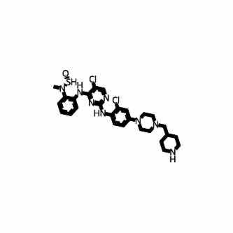 CN([SH]=O)c1ccccc1Nc1nc(Nc2ccc(N3CCN(CC4CCNCC4)CC3)cc2Cl)ncc1Cl